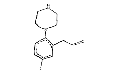 O=CCc1cc(F)ccc1N1CCNCC1